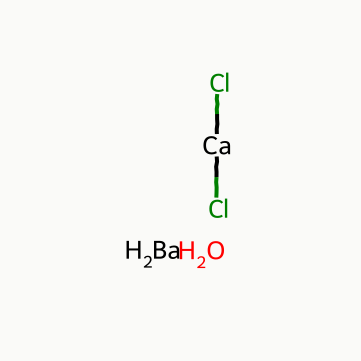 O.[BaH2].[Cl][Ca][Cl]